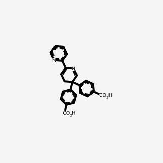 O=C(O)c1ccc(C2(c3ccc(C(=O)O)cc3)C=NC(c3ccccn3)=CC2)cc1